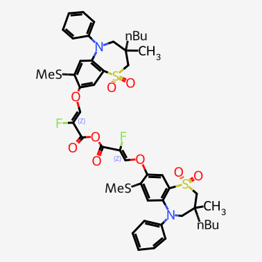 CCCCC1(C)CN(c2ccccc2)c2cc(SC)c(O/C=C(\F)C(=O)OC(=O)/C(F)=C/Oc3cc4c(cc3SC)N(c3ccccc3)CC(C)(CCCC)CS4(=O)=O)cc2S(=O)(=O)C1